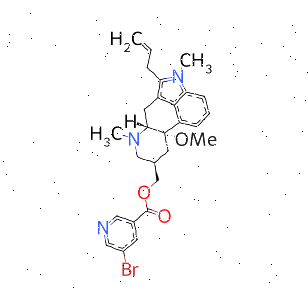 C=CCc1c2c3c(cccc3n1C)[C@@]1(OC)C[C@@H](COC(=O)c3cncc(Br)c3)CN(C)[C@@H]1C2